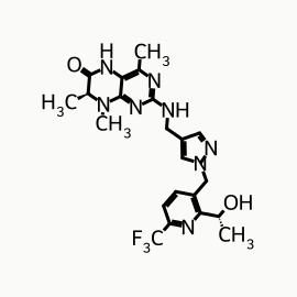 Cc1nc(NCc2cnn(Cc3ccc(C(F)(F)F)nc3[C@@H](C)O)c2)nc2c1NC(=O)[C@H](C)N2C